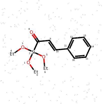 CCO[Si](OCC)(OCC)C(=O)C=Cc1ccccc1